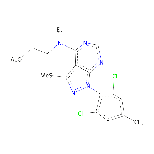 CCN(CCOC(C)=O)c1ncnc2c1c(SC)nn2-c1c(Cl)cc(C(F)(F)F)cc1Cl